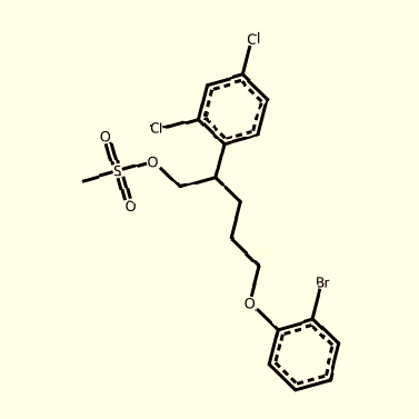 CS(=O)(=O)OCC(CCCOc1ccccc1Br)c1ccc(Cl)cc1Cl